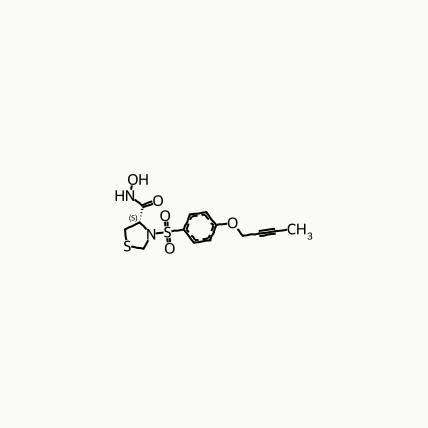 CC#CCOc1ccc(S(=O)(=O)N2CSC[C@@H]2C(=O)NO)cc1